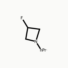 CC[CH]N1CC(F)C1